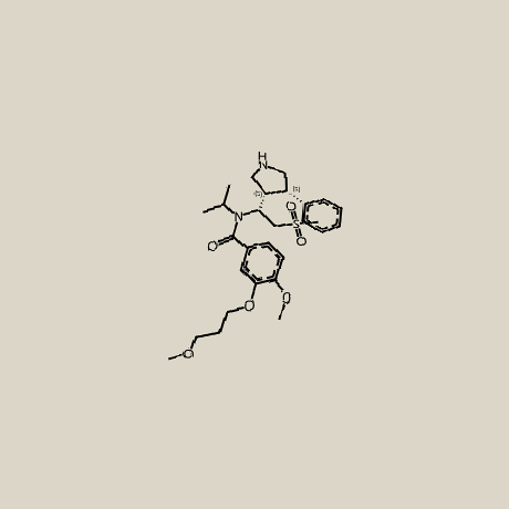 COCCCOc1cc(C(=O)N(C(C)C)C(CS(C)(=O)=O)[C@@H]2CNC[C@@H]2c2ccccc2)ccc1OC